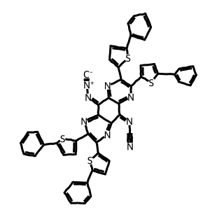 [C-]#[N+]N=C1c2nc(-c3ccc(-c4ccccc4)s3)c(-c3ccc(-c4ccccc4)s3)nc2C(=NC#N)c2nc(-c3ccc(-c4ccccc4)s3)c(-c3ccc(-c4ccccc4)s3)nc21